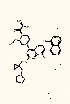 C=C(F)C(=O)N1CCN(c2nc(OCC3(CN4CCCC4)CC3)nc3c(F)c(-c4cccc5cccc(Cl)c45)ccc23)CC1CC#N